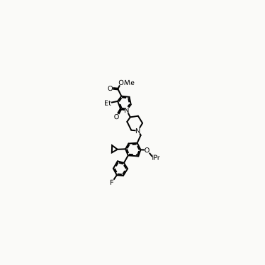 CCc1c(C(=O)OC)ccn(C2CCN(Cc3cc(C4CC4)c(-c4ccc(F)cc4)cc3OC(C)C)CC2)c1=O